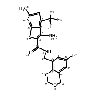 Cc1cc(C(F)(F)F)c2c(N)c(C(=O)NCc3cc(F)cc4c3OCOC4)sc2n1